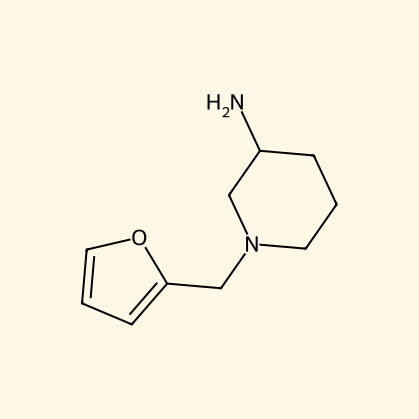 NC1CCCN(Cc2ccco2)C1